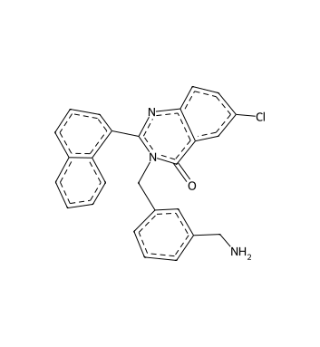 NCc1cccc(Cn2c(-c3cccc4ccccc34)nc3ccc(Cl)cc3c2=O)c1